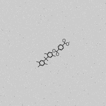 COC(=O)c1ccc(C(=O)Oc2cc(C)c(C(C)(C)c3cc(C)c(C)cc3C)cc2C)cc1